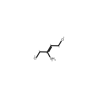 [SiH3]C(=CCCl)CCl